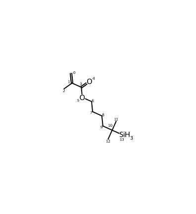 C=C(C)C(=O)OCCCCC(C)(C)[SiH3]